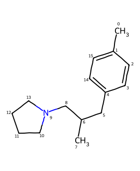 Cc1ccc(CC(C)CN2CCCC2)cc1